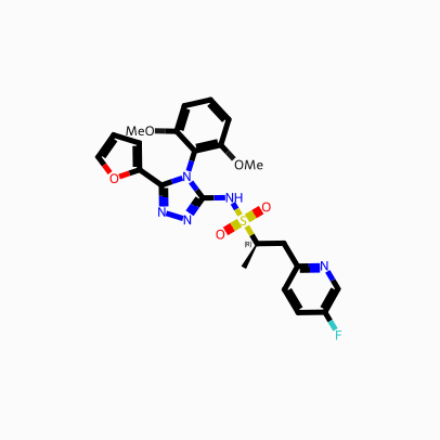 COc1cccc(OC)c1-n1c(NS(=O)(=O)[C@H](C)Cc2ccc(F)cn2)nnc1-c1ccco1